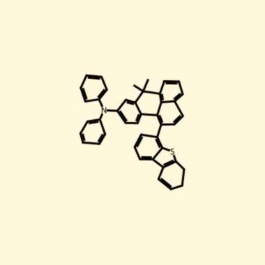 CC1(C)c2cc(N(c3ccccc3)c3ccccc3)ccc2-c2c(-c3cccc4c5c(sc34)CCC=C5)ccc3cccc1c23